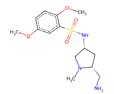 COc1ccc(OC)c(S(=O)(=O)N[C@@H]2C[C@H](CN)N(C)C2)c1